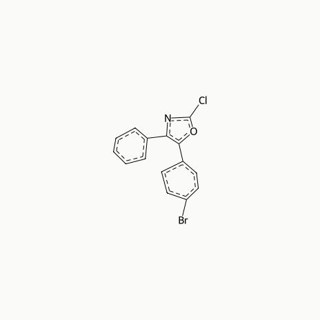 Clc1nc(-c2ccccc2)c(-c2ccc(Br)cc2)o1